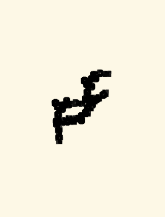 CCCCCCCCCCOC(=O)OCn1c(=O)c(C2CCN(C(=O)N[C@H](Cc3cc(C)c4nn(COC(=O)OCn5cc6cc(C[C@@H](NC(=O)N7CCC(c8cc9ccccc9n(COC(=O)OCCCCCCCCCC)c8=O)CC7)C(=O)N7CCN(C8CCN(C)CC8)CC7)cc(C)c6n5)cc4c3)C(=O)N3CCN(C4CCN(C)CC4)CC3)CC2)cc2ccccc21